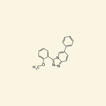 COc1ccccc1-c1nnc2ccc(-c3ccccc3)cn12